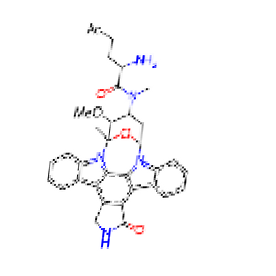 COC1C(N(C)C(=O)C(N)CCC(C)=O)CC2OC1(C)n1c3ccccc3c3c4c(c5c6ccccc6n2c5c31)C(=O)NC4